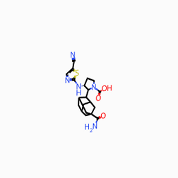 N#Cc1cnc(N[C@@H]2CCN(C(=O)O)C2C2C3CC4CC2CC(C(N)=O)(C4)C3)s1